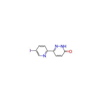 O=c1ccc(-c2ccc(I)cn2)n[nH]1